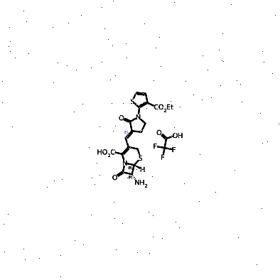 CCOC(=O)c1ccsc1N1CC/C(=C\C2=C(C(=O)O)N3C(=O)[C@@H](N)[C@H]3SC2)C1=O.O=C(O)C(F)(F)F